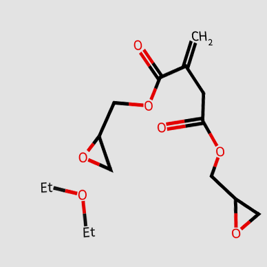 C=C(CC(=O)OCC1CO1)C(=O)OCC1CO1.CCOCC